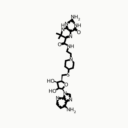 CC1(C)Nc2nc(N)[nH]c(=O)c2N=C1C(=O)NCCN1CCC(SC[C@H]2O[C@@H](n3cnc4c(N)ccnc43)C(O)[C@H]2O)CC1